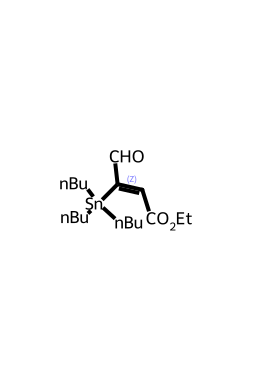 CCC[CH2][Sn]([CH2]CCC)([CH2]CCC)/[C](C=O)=C\C(=O)OCC